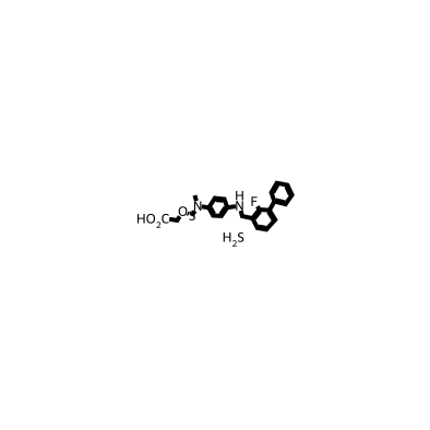 CN(SOCC(=O)O)c1ccc(NCc2cccc(-c3ccccc3)c2F)cc1.S